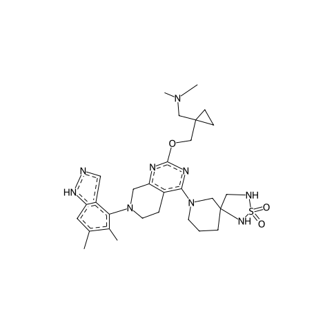 Cc1cc2[nH]ncc2c(N2CCc3c(nc(OCC4(CN(C)C)CC4)nc3N3CCCC4(CNS(=O)(=O)N4)C3)C2)c1C